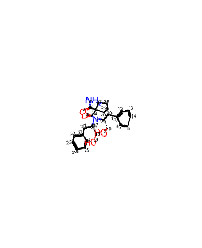 NC(=O)C1(C(=O)N([C@@H](CO)Cc2ccccc2)[C@@H](CO)Cc2ccccc2)CCCC1